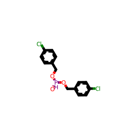 O=[PH](OCc1ccc(Cl)cc1)OCc1ccc(Cl)cc1